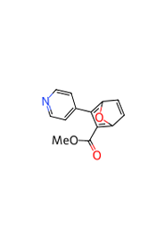 COC(=O)c1c(-c2ccncc2)c2ccc1o2